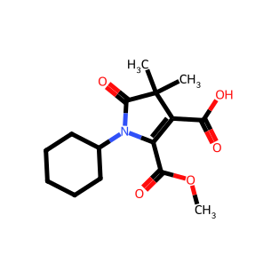 COC(=O)C1=C(C(=O)O)C(C)(C)C(=O)N1C1CCCCC1